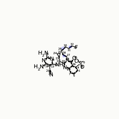 CS(=O)(=O)c1cccc2nc(C(Nc3nc(N)nc(N)c3C#N)C3CC3)n(/C=C/C=C\C=C\F)c(=O)c12